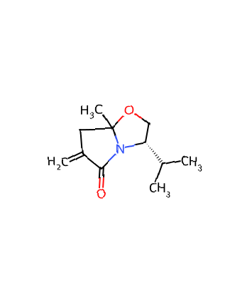 C=C1CC2(C)OC[C@H](C(C)C)N2C1=O